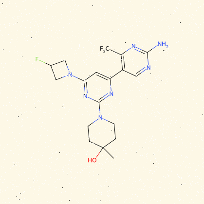 CC1(O)CCN(c2nc(-c3cnc(N)nc3C(F)(F)F)cc(N3CC(F)C3)n2)CC1